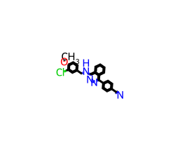 COc1ccc(CNc2nnc(-c3ccc(C#N)cc3)c3ccccc23)cc1Cl